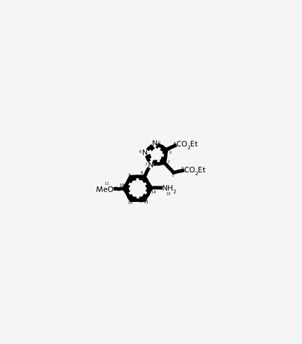 CCOC(=O)Cc1c(C(=O)OCC)nnn1-c1cc(OC)ccc1N